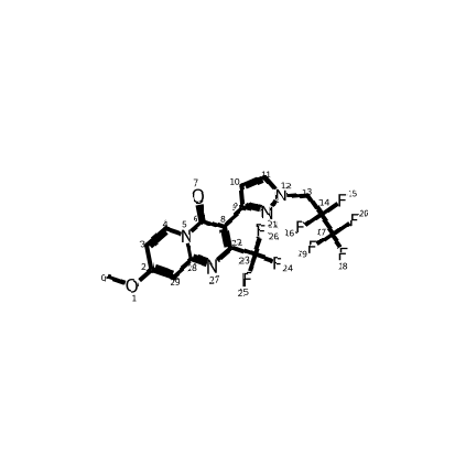 COc1ccn2c(=O)c(-c3ccn(CC(F)(F)C(F)(F)F)n3)c(C(F)(F)F)nc2c1